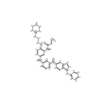 C=CC(=O)Nc1cc(Nc2ncnc(Nc3ccc4c(ccn4Cc4ccccc4)c3)n2)ccc1OCCCN1CCOCC1